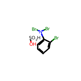 Brc1ccccc1N(Br)Br.O=S(=O)(O)O